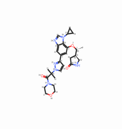 C[C@@H](Oc1cc(-c2ccn(C(C)(C)C(=O)N3CCOCC3)n2)cc2ncn(C3CC3)c12)[C@H]1CNC(=O)C1